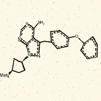 CN[C@H]1C[C@@H](n2nc(-c3ccc(Oc4ccccc4)cc3)c3c(N)ncnc32)C1